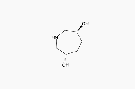 O[C@H]1CC[C@H](O)CNC1